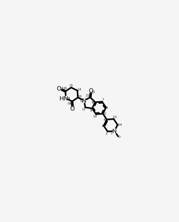 CN1CC=C(c2ccc3c(c2)CN(C2CCC(=O)NC2=O)C3=O)CC1